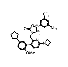 COc1ccc(C2CCCC2)cc1-c1ccc(N2CCC2)nc1CN1C(=O)O[C@H](c2cc(C(F)(F)F)cc(C(F)(F)F)c2)[C@@H]1C